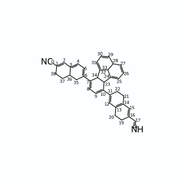 N#CC1=CC2=CC=C(C3=CC=C(C4=CC5=C(C=C(C=N)CC5)CC4)C4C5=CC=CC6C=CC=C(C56)C34)CC2CC1